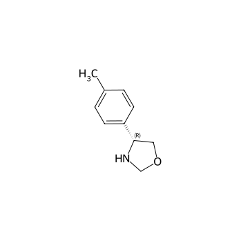 Cc1ccc([C@@H]2COCN2)cc1